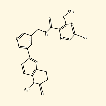 COc1nc(Cl)cnc1C(=O)NCc1cncc(-c2ccc3c(c2)CCC(=O)N3C)c1